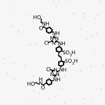 O=C(NCCO)c1ccc(Nc2nc(Cl)nc(Nc3ccc(/C=C/c4ccc(Nc5nc(Cl)nc(Nc6ccc(C(=O)NCCO)cc6)n5)cc4S(=O)(=O)O)c(S(=O)(=O)O)c3)n2)cc1